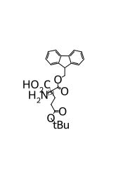 CC(C)(C)OC(=O)CC[C@](N)(C(=O)O)C(=O)OCC1c2ccccc2-c2ccccc21